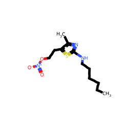 CCCCCCNc1nc(C)c(CCO[N+](=O)[O-])s1